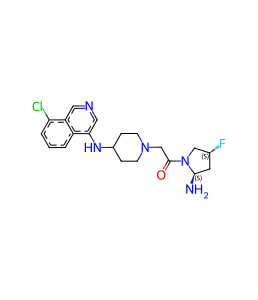 N[C@@H]1C[C@H](F)CN1C(=O)CN1CCC(Nc2cncc3c(Cl)cccc23)CC1